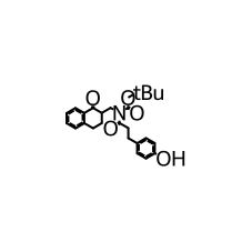 CC(C)(C)OC(=O)N(CC1CCc2ccccc2C1=O)C(=O)CCc1ccc(O)cc1